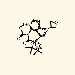 CC(C)(C)OC(=O)N(C(=O)OC(C)(C)C)c1ncnc2c1c(B1OC(C)(C)C(C)(C)O1)cn2C1COC1